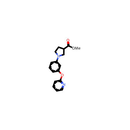 COC(=O)C1CCN(c2cccc(Oc3ccccn3)c2)C1